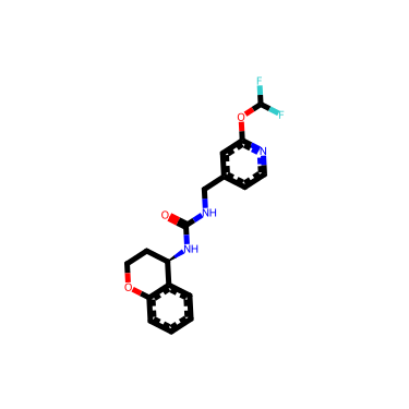 O=C(NCc1ccnc(OC(F)F)c1)N[C@@H]1CCOc2ccccc21